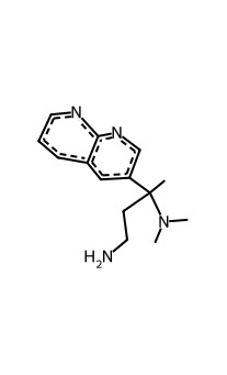 CN(C)C(C)(CCN)c1cnc2ncccc2c1